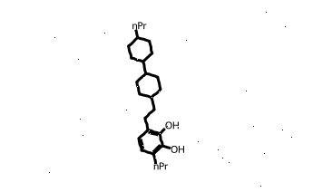 CCCc1ccc(CCC2CCC(C3CCC(CCC)CC3)CC2)c(O)c1O